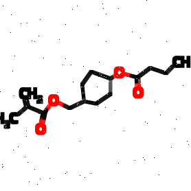 C=C(C)C(=O)OCC1CCC(OC(=O)CCC)CC1